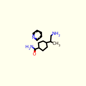 CC(CN)C1CCC(C(N)=O)CC1.c1ccncc1